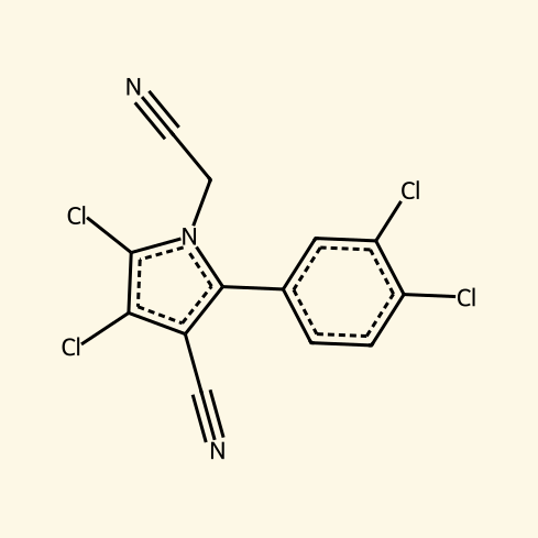 N#CCn1c(Cl)c(Cl)c(C#N)c1-c1ccc(Cl)c(Cl)c1